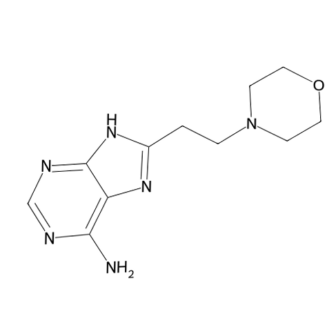 Nc1ncnc2[nH]c(CCN3CCOCC3)nc12